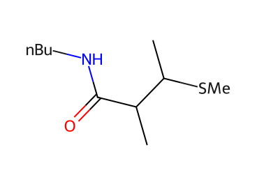 CCCCNC(=O)C(C)C(C)SC